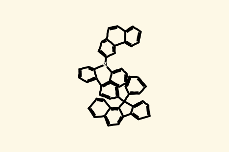 c1ccc(N(c2ccc3ccc4ccccc4c3c2)c2ccccc2-c2ccc(C3(c4ccccc4)c4ccccc4-c4ccc5ccccc5c43)cc2)cc1